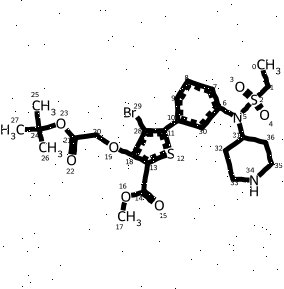 CCS(=O)(=O)N(c1cccc(-c2sc(C(=O)OC)c(OCC(=O)OC(C)(C)C)c2Br)c1)C1CCNCC1